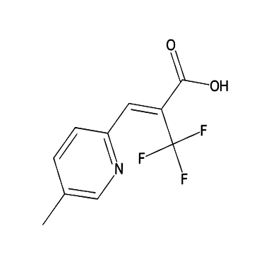 Cc1ccc(/C=C(/C(=O)O)C(F)(F)F)nc1